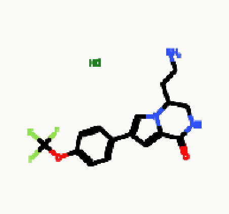 Cl.NCCC1CNC(=O)c2cc(-c3ccc(OC(F)(F)F)cc3)cn21